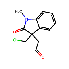 CN1C(=O)C(CCl)(CC=O)c2ccccc21